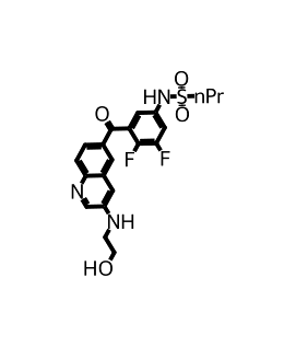 CCCS(=O)(=O)Nc1cc(F)c(F)c(C(=O)c2ccc3ncc(NCCO)cc3c2)c1